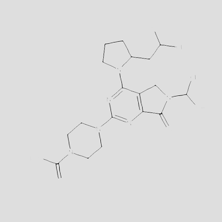 CC(=O)N1CCN(c2nc3c(c(N4CCCC4CC(C)C)n2)CN(C(C)C)C3=O)CC1